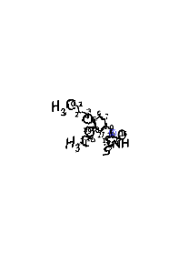 CCCCOc1ccc(/C=C2\SC(=S)NC2=O)cc1OCC